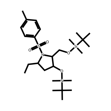 CCC1CC(O[Si](C)(C)C(C)(C)C)C(CO[Si](C)(C)C(C)(C)C)N1S(=O)(=O)c1ccc(C)cc1